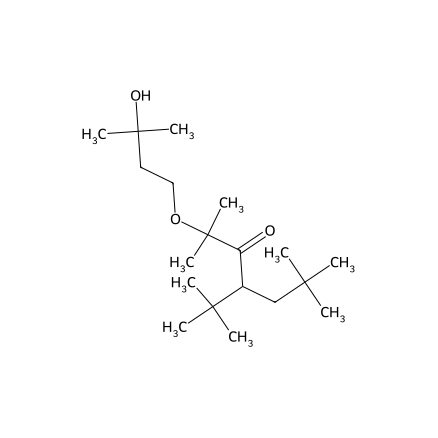 CC(C)(C)CC(C(=O)C(C)(C)OCCC(C)(C)O)C(C)(C)C